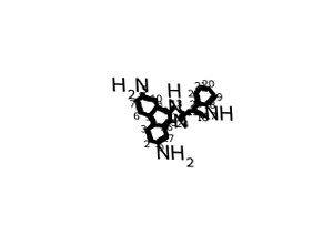 Nc1ccc2c3ccc(N)cc3c3[nH]c(-c4c[nH]c5ccccc45)nc3c2c1